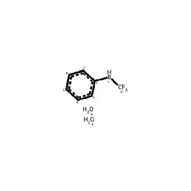 FC(F)(F)Bc1ccccc1.O.O